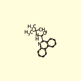 CC(C)(C)NC(=O)c1nc2ccccc2c2ccccc12